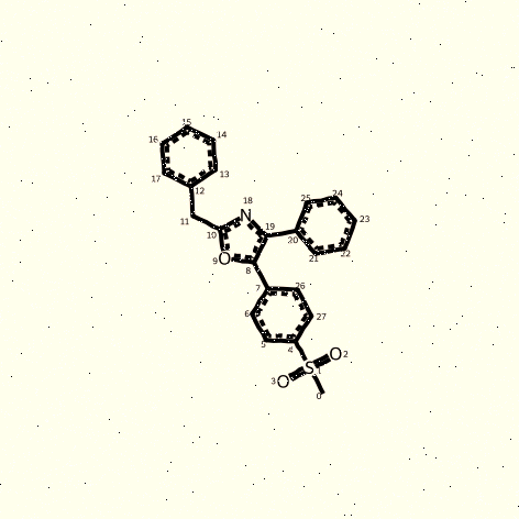 CS(=O)(=O)c1ccc(-c2oc(Cc3ccccc3)nc2-c2ccccc2)cc1